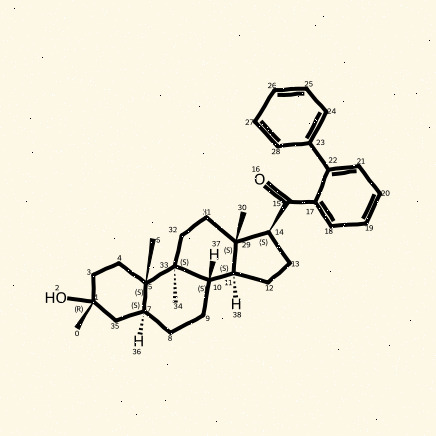 C[C@@]1(O)CC[C@@]2(C)[C@@H](CC[C@H]3[C@@H]4CC[C@H](C(=O)c5ccccc5-c5ccccc5)[C@@]4(C)CC[C@@]32C)C1